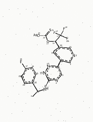 CC(Nc1ncc(-c2cncc(C(OC(O)=S)C(F)(F)F)c2)nn1)c1ccc(F)cc1